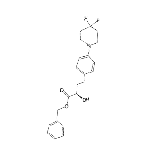 O=C(OCc1ccccc1)[C@H](O)CCc1ccc(N2CCC(F)(F)CC2)cc1